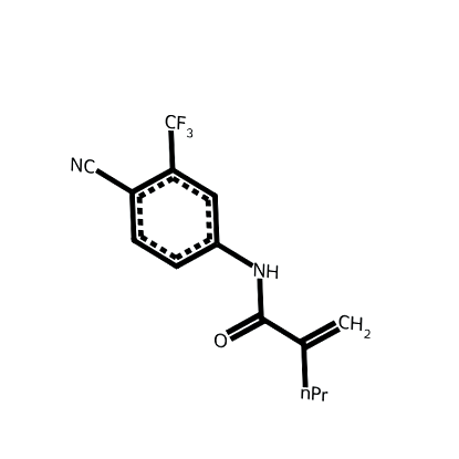 C=C(CCC)C(=O)Nc1ccc(C#N)c(C(F)(F)F)c1